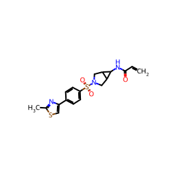 C=CC(=O)NC1C2CN(S(=O)(=O)c3ccc(-c4csc(C)n4)cc3)CC21